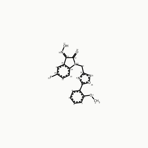 COc1ccccc1-c1nc(CN2C(=O)/C(=N\O)c3cc(F)ccc32)no1